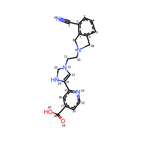 N#Cc1cccc2c1CN(CCN1C=C(c3cc(C(=O)O)ccn3)NC1)C2